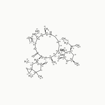 CC[C@H]1OC(=O)[C@H](C)[C@@H](O[C@H]2CC(C)(C)C3(CC3)[C@H](C)O2)[C@H](C)[C@@H](O[C@@H]2O[C@H](C)C[C@H](N(C)C)[C@H]2O)[C@](C)(O)C[C@@H](C)CN[C@H](C)[C@@H](O)[C@]1(C)O